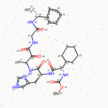 CCCC(NC(=O)[C@H](Cc1c[nH]cn1)NC(=O)[C@@H](NC(=O)OC(C)(C)C)C1CCCCC1)C(=O)C(=O)NCC(=O)N[C@H](C(=O)O)c1ccccc1